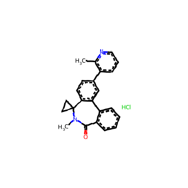 Cc1ncccc1-c1ccc2c(c1)-c1ccccc1C(=O)N(C)C21CC1.Cl